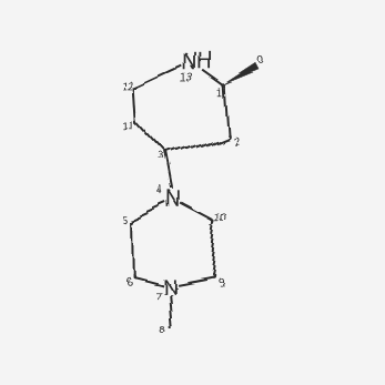 C[C@H]1CC(N2CCN(C)CC2)CCN1